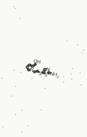 Nc1ncc(SCCN2CCCC2CO)s1